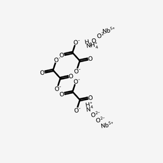 O.O=C([O-])C(=O)[O-].O=C([O-])C(=O)[O-].O=C([O-])C(=O)[O-].[NH4+].[NH4+].[Nb+5].[Nb+5].[O-2].[O-2].[O-2]